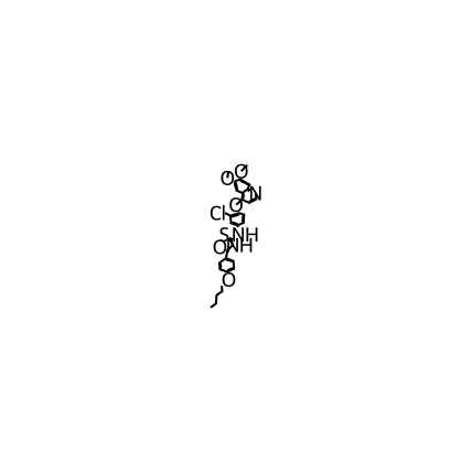 CCCCCOc1ccc(C(=O)NC(=S)Nc2ccc(Oc3ccnc4cc(OC)c(OC)cc34)c(Cl)c2)cc1